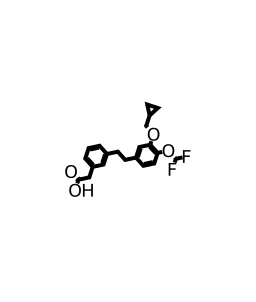 O=C(O)Cc1cccc(CCc2ccc(OC(F)F)c(OCC3CC3)c2)c1